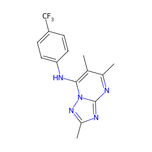 Cc1nc2nc(C)c(C)c(Nc3ccc(C(F)(F)F)cc3)n2n1